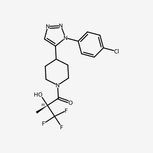 C[C@@](O)(C(=O)N1CCC(c2cnnn2-c2ccc(Cl)cc2)CC1)C(F)(F)F